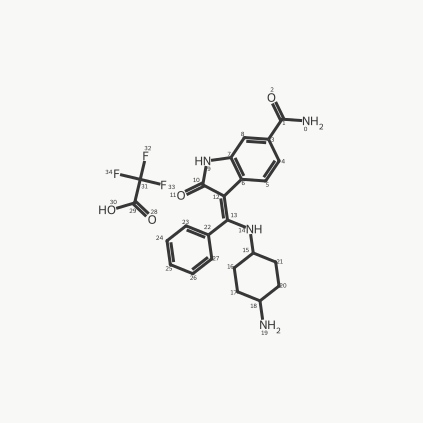 NC(=O)c1ccc2c(c1)NC(=O)C2=C(NC1CCC(N)CC1)c1ccccc1.O=C(O)C(F)(F)F